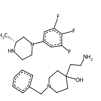 C[C@@H]1CN(c2cc(F)c(F)c(F)c2)CCN1.NCCC1(O)CCN(Cc2ccccc2)CC1